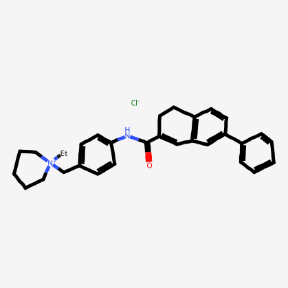 CC[N+]1(Cc2ccc(NC(=O)C3=Cc4cc(-c5ccccc5)ccc4CC3)cc2)CCCCC1.[Cl-]